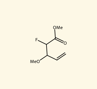 C=CC(OC)C(F)C(=O)OC